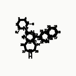 C[C@@H]1CCC[C@H](C)N1c1nc2c(c(-c3cnc4ccccc4c3)n1)CCNCC2